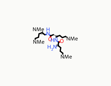 CNCCC[C@@H](CNC(=O)C[C@H](CCCNC)NC(=O)[C@@H](N)CCCNC)NC